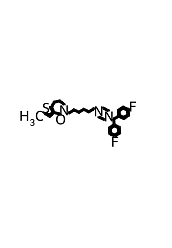 Cc1cc2c(s1)CCCN(CCCCCCN1CCN(C(c3ccc(F)cc3)c3ccc(F)cc3)CC1)C2=O